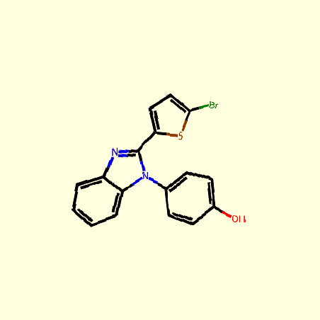 Oc1ccc(-n2c(-c3ccc(Br)s3)nc3ccccc32)cc1